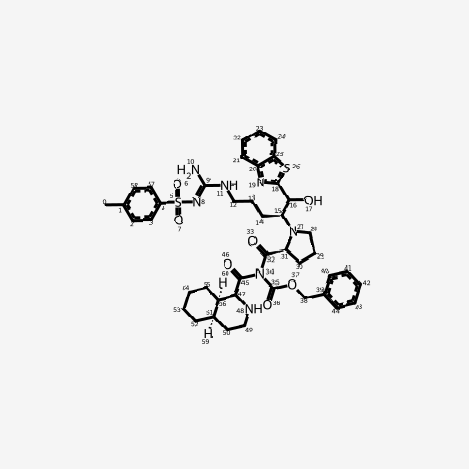 Cc1ccc(S(=O)(=O)N=C(N)NCCC[C@@H](C(O)c2nc3ccccc3s2)N2CCC[C@H]2C(=O)N(C(=O)OCc2ccccc2)C(=O)C2NCC[C@H]3CCCC[C@@H]23)cc1